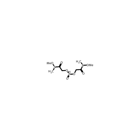 CON(C)C(=O)CO[PH](=O)OCC(=O)N(C)OC